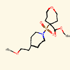 CCCCOCCC1CCN(S(=O)(=O)C2(C(=O)OC(C)(C)C)CCOCC2)CC1